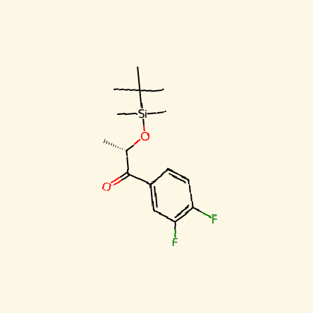 C[C@H](O[Si](C)(C)C(C)(C)C)C(=O)c1ccc(F)c(F)c1